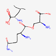 CC(C)[C@H](N)C(=O)O.NC(=O)CC[C@H](N)C(=O)OC[C@H](N)C(=O)O